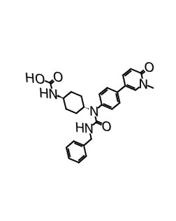 Cn1cc(-c2ccc(N(C(=O)NCc3ccccc3)[C@H]3CC[C@H](NC(=O)O)CC3)cc2)ccc1=O